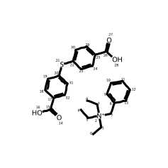 CC[N+](CC)(CC)Cc1ccccc1.O=C(O)c1ccc(Sc2ccc(C(=O)O)cc2)cc1